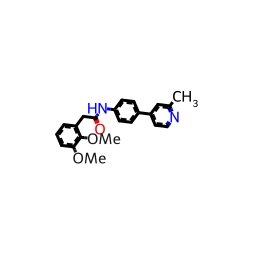 COc1cccc(CC(=O)Nc2ccc(-c3ccnc(C)c3)cc2)c1OC